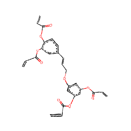 C=CC(=O)Oc1cc(OC/C=C/c2ccc(OC(=O)C=C)c(OC(=O)C=C)c2)cc(OC(=O)C=C)c1